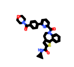 O=C(NC1CC1)c1cc2c(s1)-c1ccccc1N(C(=O)c1cccc(-c3ccc(C(=O)N4CCOCC4)cc3)n1)CC2